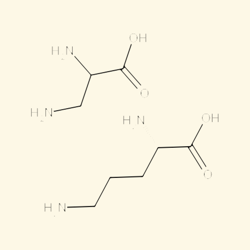 NCC(N)C(=O)O.NCCC[C@H](N)C(=O)O